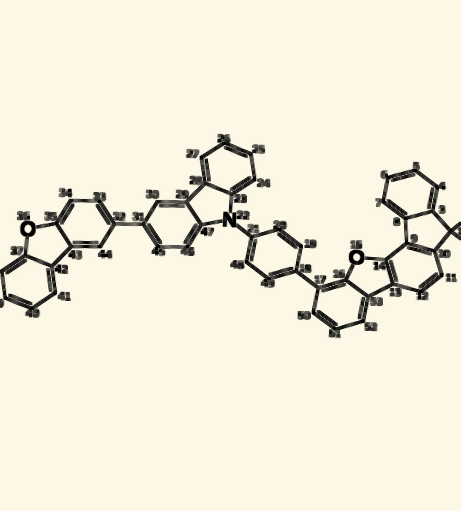 CC1(C)c2ccccc2-c2c1ccc1c2oc2c(-c3ccc(-n4c5ccccc5c5cc(-c6ccc7oc8ccccc8c7c6)ccc54)cc3)cccc21